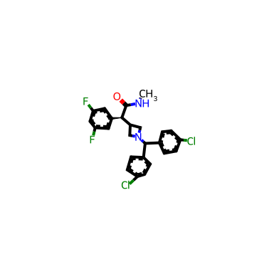 CNC(=O)[C@H](c1cc(F)cc(F)c1)C1CN(C(c2ccc(Cl)cc2)c2ccc(Cl)cc2)C1